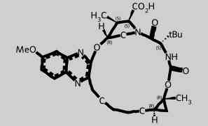 COc1ccc2nc3c(nc2c1)O[C@H]1CN(C(=O)[C@H](C(C)(C)C)NC(=O)O[C@]2(C)C[C@H]2CCCCC3)[C@H](C(=O)O)[C@@H]1C